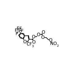 O=C(OCCO[N+](=O)[O-])OCOC(=O)C1=Cc2cc(S(F)(F)(F)(F)F)ccc2OC1C(F)(F)F